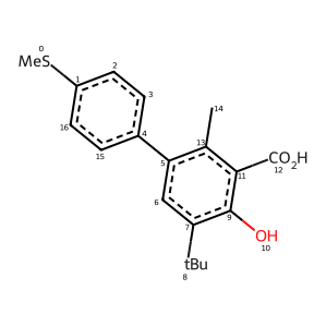 CSc1ccc(-c2cc(C(C)(C)C)c(O)c(C(=O)O)c2C)cc1